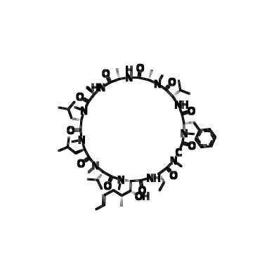 C/C=C/C[C@@H](C)[C@@H](O)[C@H]1C(=O)N[C@@H](CC)C(=O)N(C)CC(=O)N(C)[C@@H](Cc2ccccc2)C(=O)N[C@@H](C(C)C)C(=O)N(C)[C@@H](C)C(=O)N[C@@H](C)C(=O)N[C@H](C)C(=O)N(C)[C@@H](CC(C)C)C(=O)N(C)[C@H](CC(C)C)C(=O)N(C)[C@@H](C(C)C)C(=O)N1C